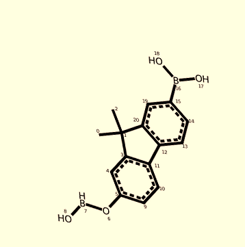 CC1(C)c2cc(OBO)ccc2-c2ccc(B(O)O)cc21